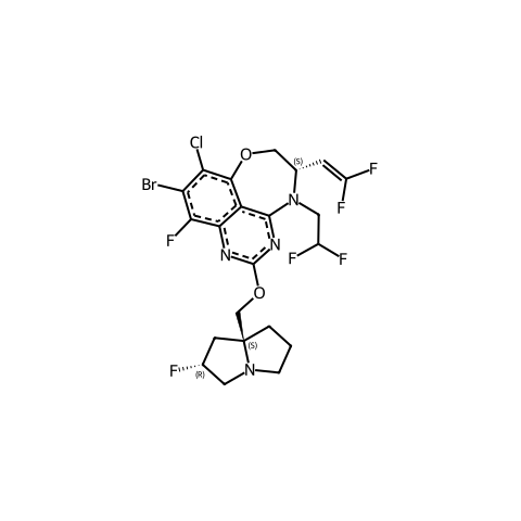 FC(F)=C[C@H]1COc2c(Cl)c(Br)c(F)c3nc(OC[C@@]45CCCN4C[C@H](F)C5)nc(c23)N1CC(F)F